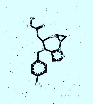 COC(CC(=O)NO)[C@H](Cc1ccc(C)cc1)c1ccnn1C1CC1